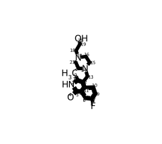 Cc1[nH]c(=O)c2cc(F)ccc2c1CN1CCN(CCO)CC1